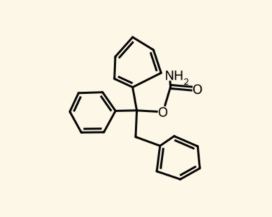 NC(=O)OC(Cc1ccccc1)(c1ccccc1)c1ccccc1